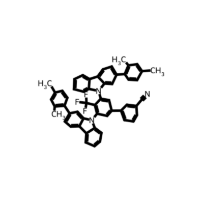 Cc1ccc(-c2ccc3c4ccccc4n(-c4cc(-c5cccc(C#N)c5)cc(-n5c6ccccc6c6ccc(-c7ccc(C)cc7C)cc65)c4C(F)(F)F)c3c2)c(C)c1